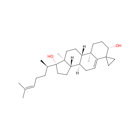 CC(C)=CCC[C@@H](C)[C@]1(O)CC[C@H]2[C@@H]3CC=C4C5(CC5)[C@@H](O)CC[C@]4(C)[C@H]3CC[C@@]21C